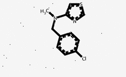 CN(Cc1ccc(Cl)cc1)c1cs[c]n1